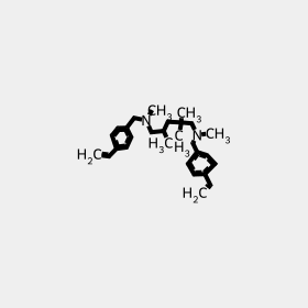 C=Cc1ccc(CN(C)CC(C)CC(C)(C)CN(C)Cc2ccc(C=C)cc2)cc1